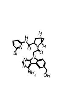 Nc1ncnc2c1c1cc(CO)ccc1n2CC(=O)N1C(C(=O)Nc2cccc(Br)n2)C[C@H]2C[C@@H]21